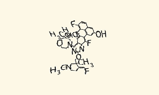 C#Cc1c(F)ccc2cc(O)cc(-c3c(F)cc4c(N5CCOC[C@@](C)(O)C5)nc(OCC5(C)CN(C)CC/C5=C\F)nc4c3F)c12